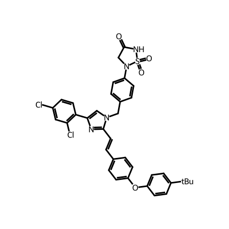 CC(C)(C)c1ccc(Oc2ccc(C=Cc3nc(-c4ccc(Cl)cc4Cl)cn3Cc3ccc(N4CC(=O)NS4(=O)=O)cc3)cc2)cc1